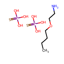 CCCCOCCN.OP(O)(O)=S.OP(O)(O)=S